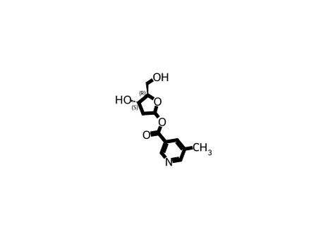 Cc1cncc(C(=O)OC2C[C@H](O)[C@@H](CO)O2)c1